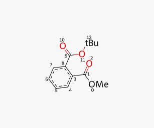 COC(=O)c1ccccc1C(=O)OC(C)(C)C